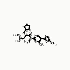 Cc1nnc(-c2cnc(N(N)C(=O)[C@H](CC3CCCC3)CN(O)C=O)nc2C(F)(F)F)o1